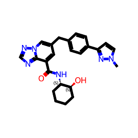 Cn1ccc(-c2ccc(Cc3cc(C(=O)N[C@H]4CCCC[C@@H]4O)c4ncnn4c3)cc2)n1